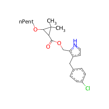 CCCCCOC1C(C(=O)OCc2[nH]ccc2Cc2ccc(Cl)cc2)C1(C)C